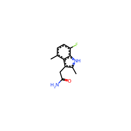 Cc1[nH]c2c(F)ccc(C)c2c1CC(N)=O